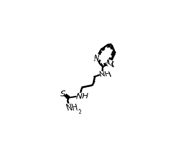 NC(=S)NCCCNc1ncccn1